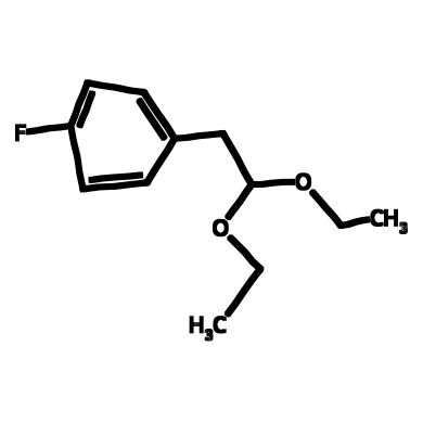 CCOC(Cc1ccc(F)cc1)OCC